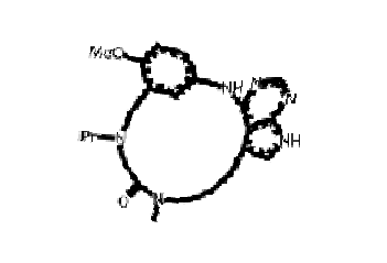 COc1ccc2cc1CN(C(C)C)CC(=O)N(C)CCCc1c[nH]c3ncnc(c13)N2